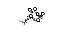 C[SiH2]C.c1ccc(OP(c2ccccc2)c2ccccc2)cc1.c1ccc(OP(c2ccccc2)c2ccccc2)cc1